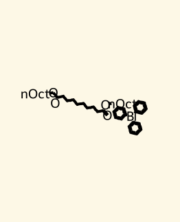 CCCCCCCCOC(=O)CCCCCCCCC(=O)OCCCCCCCC.c1cc[c]([Bi]([c]2ccccc2)[c]2ccccc2)cc1